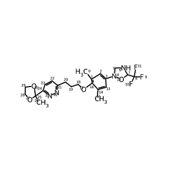 Cc1cc(N2CNC(C(F)(F)F)O2)cc(C)c1OCCCc1ccc(C2(C)OCCO2)nn1